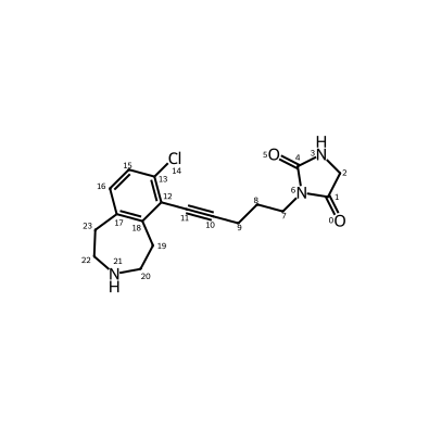 O=C1CNC(=O)N1CCCC#Cc1c(Cl)ccc2c1CCNCC2